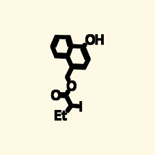 CCC(I)C(=O)OCc1ccc(O)c2ccccc12